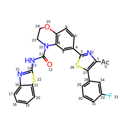 CC(=O)c1nc(-c2ccc3c(c2)N(C(=O)Nc2nc4ccccc4s2)CCO3)sc1-c1cccc(F)c1